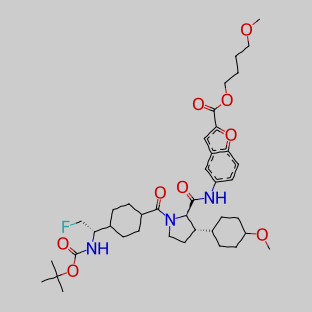 COCCCCOC(=O)c1cc2cc(NC(=O)[C@H]3[C@H](C4CCC(OC)CC4)CCN3C(=O)C3CCC([C@@H](CF)NC(=O)OC(C)(C)C)CC3)ccc2o1